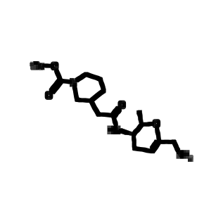 C[C@H]1OC(CN)=CC[C@H]1NC(=O)CC1CCCN(C(=O)OC(C)(C)C)C1